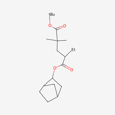 CCC(CC(C)(C)C(=O)OC(C)(C)C)C(=O)OC1CC2CCC1C2